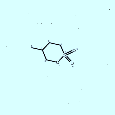 CC1CCS(=O)(=O)OC1